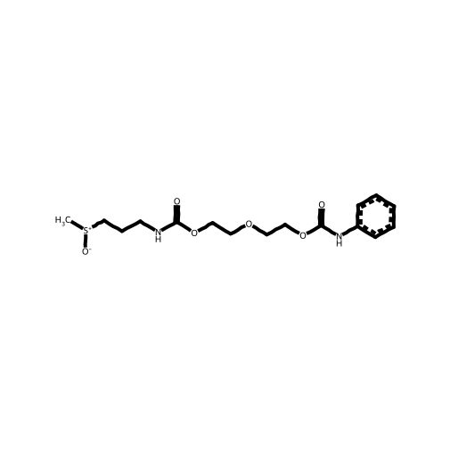 C[S+]([O-])CCCNC(=O)OCCOCCOC(=O)Nc1ccccc1